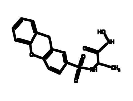 CC(NS(=O)(=O)c1ccc2c(c1)Cc1ccccc1O2)C(=O)NO